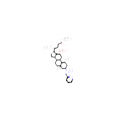 COC(=O)CC[C@@H](C)[C@H]1CCC2C3CC[C@H]4C[C@@H](NCc5ccccn5)CC[C@]4(C)C3C[C@H](O)[C@@]21C